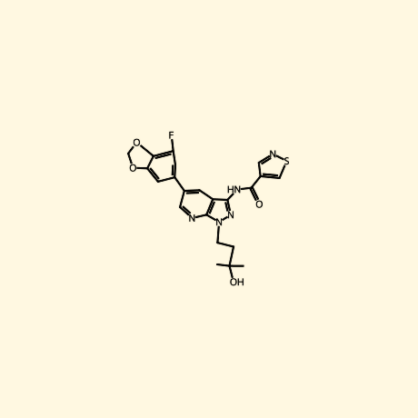 CC(C)(O)CCn1nc(NC(=O)c2cnsc2)c2cc(-c3cc(F)c4c(c3)OCO4)cnc21